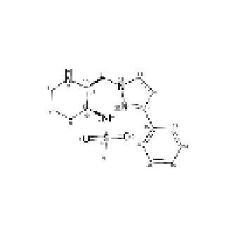 CS(=O)(=O)N[C@H]1CCCN[C@H]1Cn1ccc(-c2ccccc2)n1